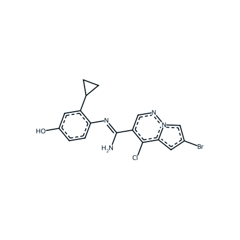 N/C(=N\c1ccc(O)cc1C1CC1)c1cnn2cc(Br)cc2c1Cl